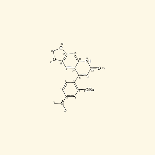 CC(C)COc1cc(N(C)C)ccc1-c1cc(=O)[nH]c2cc3c(cc12)OCO3